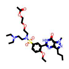 CCCc1nn(C)c2c(=O)[nH]c(-c3cc(S(=O)(=O)N(CCOCCOC(C)=O)CCN(CC)CC)ccc3OCC)nc12